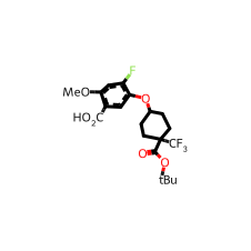 COc1cc(F)c(OC2CCC(C(=O)OC(C)(C)C)(C(F)(F)F)CC2)cc1C(=O)O